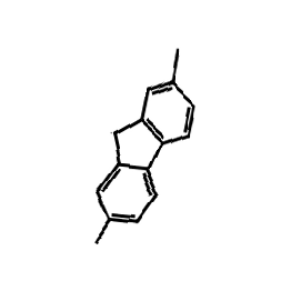 Cc1ccc2c(c1)[CH]c1cc(C)ccc1-2